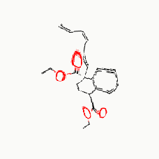 C=C/C=C\C=C\[C@]1(C(=O)OCC)CC[C@H](C(=O)OCC)c2ccccc21